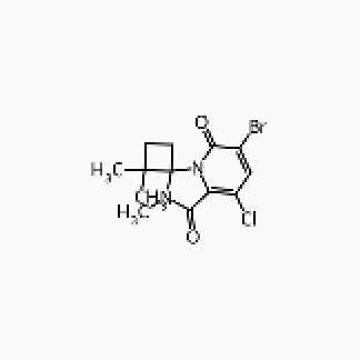 CN1C(=O)c2c(Cl)cc(Br)c(=O)n2C12CCC2(C)C